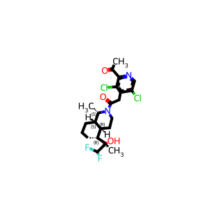 CC(=O)c1ncc(Cl)c(CC(=O)N2CC[C@@H]3[C@H](CCC[C@H]3[C@](C)(O)C(F)F)[C@@H]2C)c1Cl